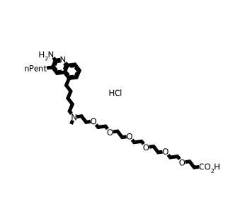 CCCCCc1cc2c(CCCCCN(C)CCOCCOCCOCCOCCOCCOCCC(=O)O)cccc2nc1N.Cl